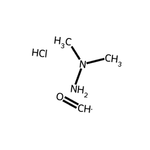 CN(C)N.Cl.[CH]=O